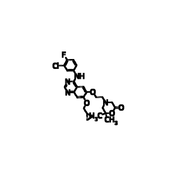 CC1(C)CN(CCOc2cc3c(Nc4ccc(F)c(Cl)c4)ncnc3cc2OCC2CC2)CC(=O)O1